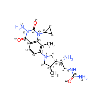 Cc1c(N2C[C@H]([C@H](N)CNC(N)=O)[C@@H](C)C2)ccc2c(=O)n(N)c(=O)n(C3CC3)c12